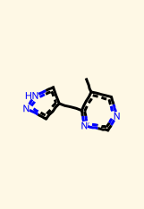 Cc1cncnc1-c1cn[nH]c1